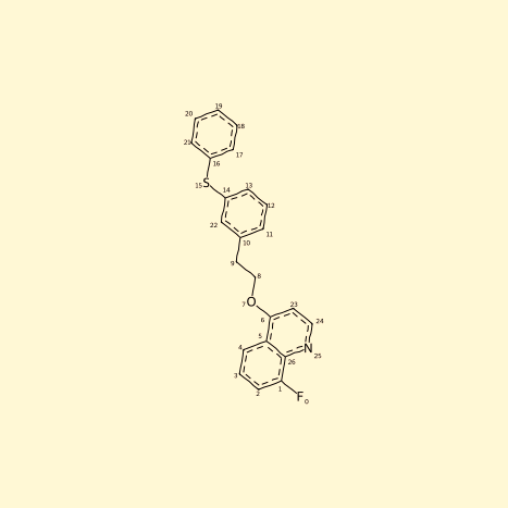 Fc1cccc2c(OCCc3cccc(Sc4ccccc4)c3)ccnc12